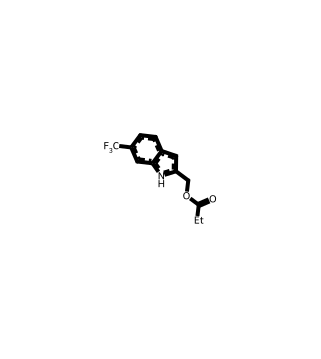 CCC(=O)OCc1cc2ccc(C(F)(F)F)cc2[nH]1